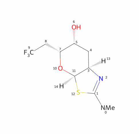 CNC1=N[C@@H]2C[C@@H](O)[C@@H](CC(F)(F)F)O[C@@H]2S1